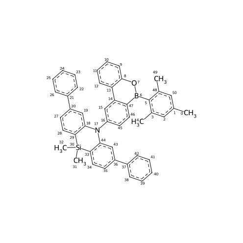 Cc1cc(C)c(B2Oc3ccccc3-c3cc(N4c5cc(-c6ccccc6)ccc5[Si](C)(C)c5ccc(-c6ccccc6)cc54)ccc32)c(C)c1